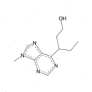 CCC(CCO)c1ncnc2c1ncn2C